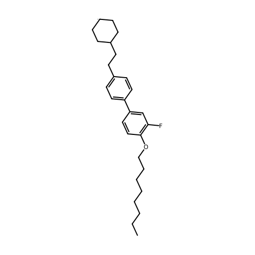 CCCCCCCCOc1ccc(-c2ccc(CCC3CC[CH]CC3)cc2)cc1F